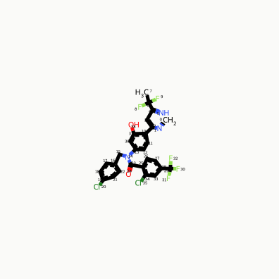 C=N/C(=C\C(=N)C(C)(F)F)c1ccc(N(Cc2ccc(Cl)cc2)C(=O)c2ccc(C(F)(F)F)cc2Cl)cc1O